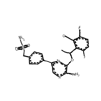 CC(Oc1nc(-c2ccc(CS(N)(=O)=O)cc2)cnc1N)c1c(F)ccc(F)c1Cl